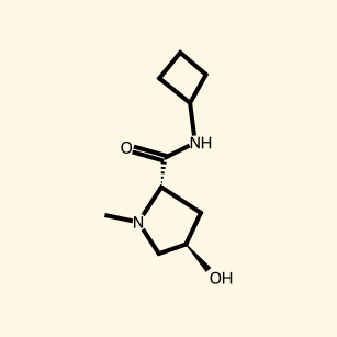 CN1C[C@H](O)C[C@H]1C(=O)NC1CCC1